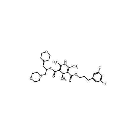 CC1=C(C(=O)OCCSc2cc(Cl)cc(Cl)c2)C(C)C(C(=O)OC(CN2CCOCC2)CN2CCOCC2)=C(C)N1